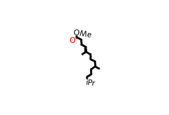 COC(=O)CC/C=C(\C)CCCC(C)CCCC(C)C